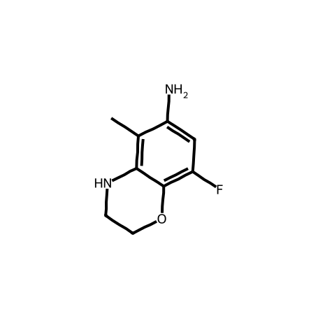 Cc1c(N)cc(F)c2c1NCCO2